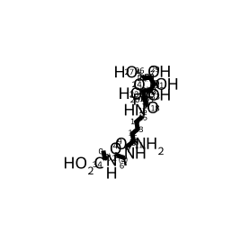 C[C@H](NC(=O)[C@H](C)NC(=O)[C@@H](N)CCCCNC(=O)C(F)(F)[C@]1(O)O[C@H](CO)[C@H](O)[C@H](O)[C@H]1O)C(=O)O